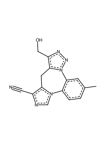 Cc1ccc2c(c1)-n1nnc(CO)c1Cc1c(C#N)ncn1-2